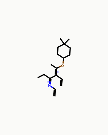 C=C/N=C(CC)\C(C=C)=C(/C)SC1CCC(C)(C)CC1